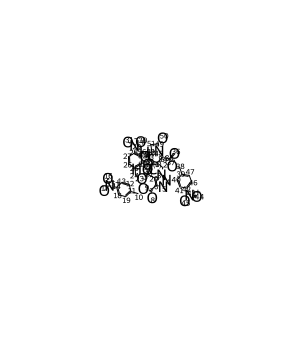 C[C@]1(Cn2nnc(C(=O)OCc3ccc([N+](=O)[O-])cc3)c2C(=O)OCc2ccc([N+](=O)[O-])cc2)[C@H](C(=O)OCc2ccc([N+](=O)[O-])cc2)N2C(=O)C[C@H]2S1(=O)=O